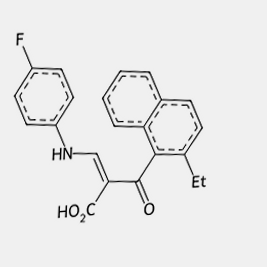 CCc1ccc2ccccc2c1C(=O)C(=CNc1ccc(F)cc1)C(=O)O